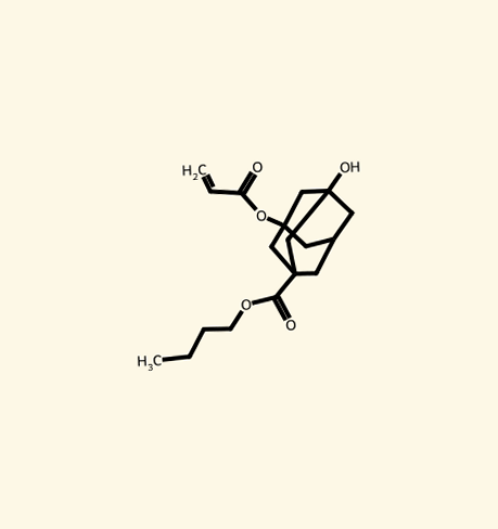 C=CC(=O)OC12CC3CC(O)(C1)CC(C(=O)OCCCC)(C3)C2